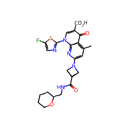 Cc1cc(N2CC(C(=O)NCC3CCCCO3)C2)nc2c1c(=O)c(C(=O)O)cn2-c1ncc(F)s1